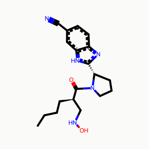 CCCC[C@H](CNO)C(=O)N1CCC[C@H]1c1nc2ccc(C#N)cc2[nH]1